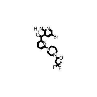 Nc1ncc(Br)cc1C(=O)c1cccc(N2CCCN(C(=O)CC(F)(F)F)CC2)n1